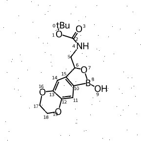 CC(C)(C)OC(=O)NCC1OB(O)c2cc3c(cc21)OCCO3